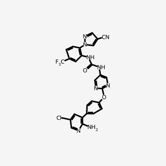 N#Cc1cnn(-c2ccc(C(F)(F)F)cc2NC(=O)Nc2cnc(Oc3ccc(-c4cc(Cl)cnc4N)cc3)nc2)c1